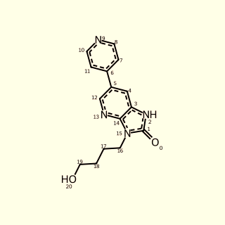 O=c1[nH]c2cc(-c3ccncc3)cnc2n1CCCCO